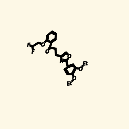 CCOc1ccc(-c2nc(CCC(=O)c3ccccc3OCC(F)F)co2)cc1OCC